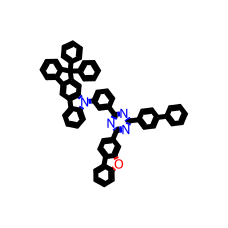 c1ccc(-c2ccc(-c3nc(-c4cccc(-n5c6ccccc6c6cc7c(cc65)C(c5ccccc5)(c5ccccc5)c5ccccc5-7)c4)nc(-c4ccc5c(c4)oc4ccccc45)n3)cc2)cc1